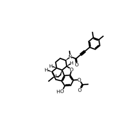 CC(=O)Oc1cc(O)c2c3c1O[C@H]1[C@H](N(C)C(=O)C#Cc4ccc(C)c(C)c4)CC[C@H]4[C@@H](C2)N(C)CC[C@@]341